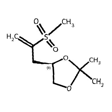 C=C(C[C@@H]1COC(C)(C)O1)S(C)(=O)=O